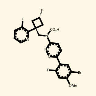 COc1cc(F)c(-c2ccc(N(C[C@]3(c4ncccc4F)C[C@@H](F)C3)C(=O)O)nn2)cc1Br